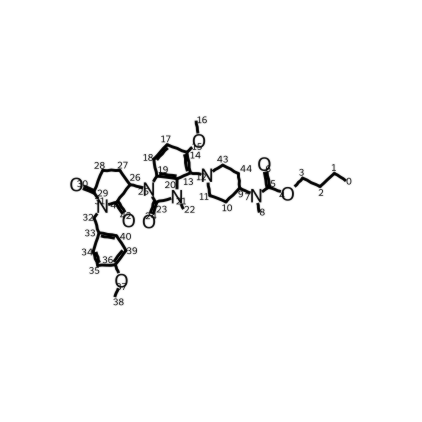 CCCCOC(=O)N(C)C1CCN(c2c(OC)ccc3c2n(C)c(=O)n3C2CCC(=O)N(Cc3ccc(OC)cc3)C2=O)CC1